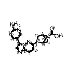 Nc1ncc(-c2cnc3ccc(N4CC5CC4CN5C(=O)O)nn23)cn1